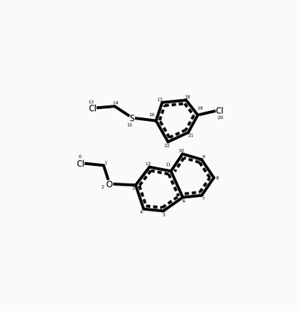 ClCOc1ccc2ccccc2c1.ClCSc1ccc(Cl)cc1